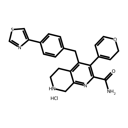 Cl.NC(=O)c1nc2c(c(Cc3ccc(-c4cscn4)cc3)c1C1=CCOC=C1)CCNC2